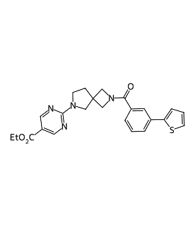 CCOC(=O)c1cnc(N2CCC3(CN(C(=O)c4cccc(-c5cccs5)c4)C3)C2)nc1